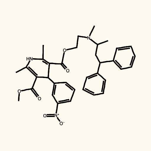 COC(=O)C1=C(C)NC(C)=C(C(=O)OCCN(C)C(C)CC(c2ccccc2)c2ccccc2)C1c1cccc([N+](=O)[O-])c1